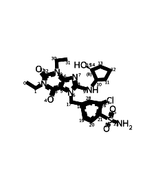 CCn1c(=O)c2c(nc(NC3CCC[C@H]3O)n2Cc2ccc(S(N)(=O)=O)c(Cl)c2)n(CC)c1=O